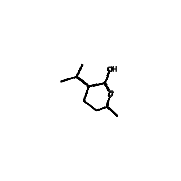 CC1CCC(C(C)C)C(O)O1